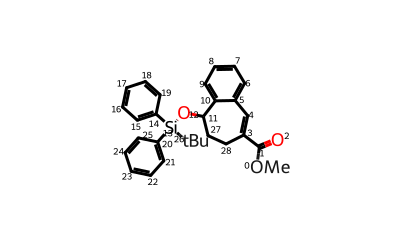 COC(=O)C1=Cc2ccccc2C(O[Si](c2ccccc2)(c2ccccc2)C(C)(C)C)CC1